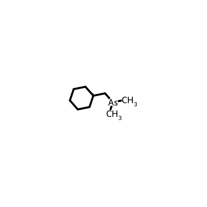 C[As](C)C[C]1CCCCC1